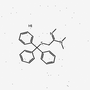 CN=C(CSC(c1ccccc1)(c1ccccc1)c1ccccc1)N(C)C.I